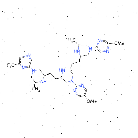 COc1cnc(N2C[C@@H](CC[C@@H]3CN(c4cnc(OC)cn4)C[C@@H](C)N3)N[C@H](CC[C@@H]3CN(c4cncc(C(F)(F)F)n4)C[C@H](C)N3)C2)nc1